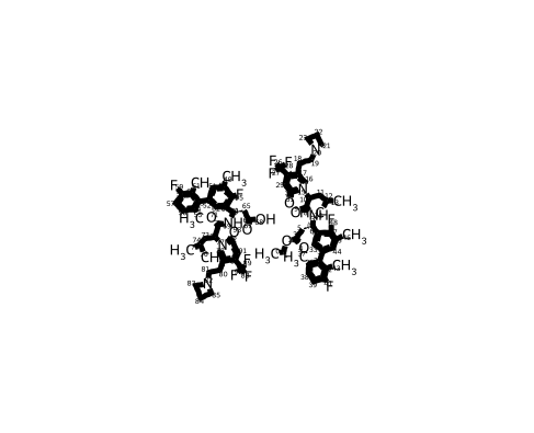 CCOC(=O)C[C@H](NC(=O)C(CC(C)C)n1cc(CCN2CCC2)c(C(F)(F)F)cc1=O)c1cc(-c2c(C)ccc(F)c2C)cc(C)c1F.Cc1cc(-c2c(C)ccc(F)c2C)cc([C@H](CC(=O)O)NC(=O)C(CC(C)C)n2cc(CCN3CCC3)c(C(F)(F)F)cc2=O)c1F